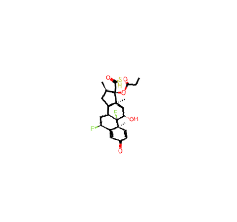 CCC(=O)O[C@]1(C(=O)S)[C@H](C)CC2C3C[C@H](F)C4=CC(=O)C=C[C@]4(C)[C@@]3(F)[C@@H](O)C[C@@]21C